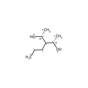 CCCC([C@H](C)O)[C@@H](C)O